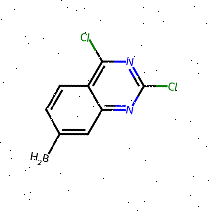 Bc1ccc2c(Cl)nc(Cl)nc2c1